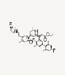 CCOC(=O)C[C@H](NC[C@H](CC(C)C)n1cc(CCN2CC[C@@H](F)C2)c(C)cc1=O)c1cc(-c2c(C)cc(F)cc2C)cc(C)c1F